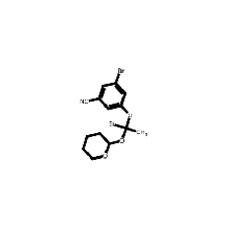 CCC(C)(Oc1cc(Br)cc(C#N)c1)OC1CCCCO1